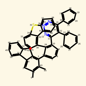 Cc1cc2c(c(-c3cccc(-c4nnnc(-c5ccccc5)c4-c4ccccc4)c3-c3cccc4sc5ccccc5c34)c1C)Cc1ccccc1-2